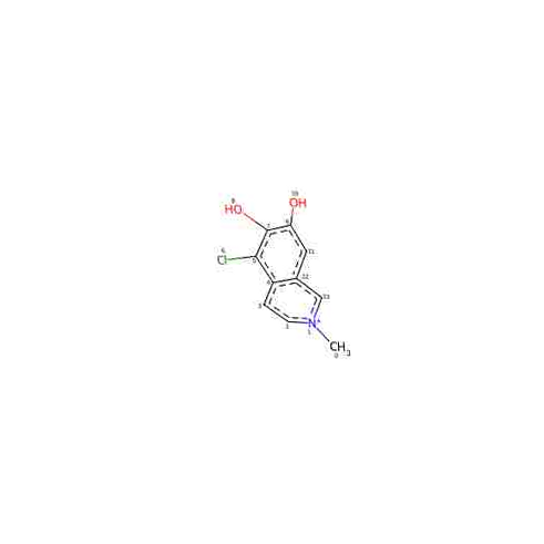 C[n+]1ccc2c(Cl)c(O)c(O)cc2c1